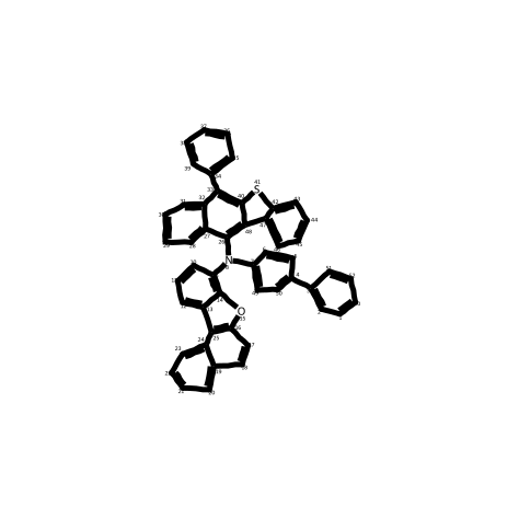 c1ccc(-c2ccc(N(c3cccc4c3oc3ccc5ccccc5c34)c3c4ccccc4c(-c4ccccc4)c4sc5ccccc5c34)cc2)cc1